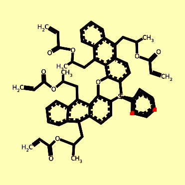 C=CC(=O)OC(C)Cc1c2ccccc2c(CC(C)OC(=O)C=C)c2c(Oc3c(Sc4ccccc4)ccc4c(CC(C)OC(=O)C=C)c5ccccc5c(CC(C)OC(=O)C=C)c34)c(Sc3ccccc3)ccc12